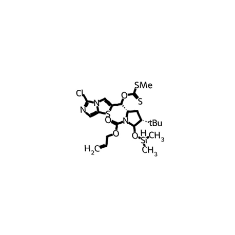 C=CCOC(=O)N1C(O[SiH](C)C)[C@@H](C(C)(C)C)C[C@H]1C(OC(=S)SC)c1cn2c(Cl)ncc2s1